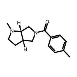 Cc1ccc(C(=O)N2C[C@@H]3CCN(C)[C@@H]3C2)cc1